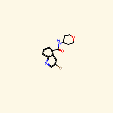 O=C(NC1CCOCC1)c1cccc2ncc(Br)cc12